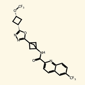 O=C(NC12CC(c3nnc([C@H]4C[C@@H](OC(F)(F)F)C4)o3)(C1)C2)c1ccc2cc(C(F)(F)F)ccc2n1